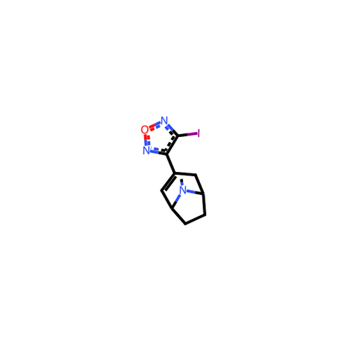 CN1C2C=C(c3nonc3I)CC1CC2